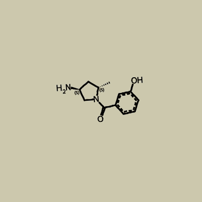 C[C@H]1C[C@H](N)CN1C(=O)c1cccc(O)c1